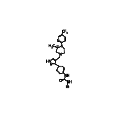 CCNC(=O)Nc1ccc(-c2n[nH]cc2CN2CCN(c3ccc(C(F)(F)F)cn3)[C@H](C)C2)cc1